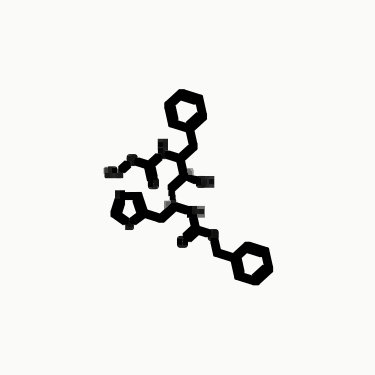 CC(C)(C)OC(=O)NC(Cc1ccccc1)[C@@H](O)C[C@@H](Cc1cncs1)NC(=O)OCc1ccccc1